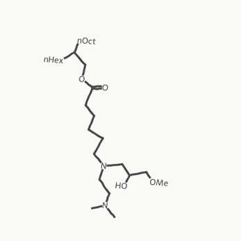 CCCCCCCCC(CCCCCC)COC(=O)CCCCCN(CCN(C)C)CC(O)COC